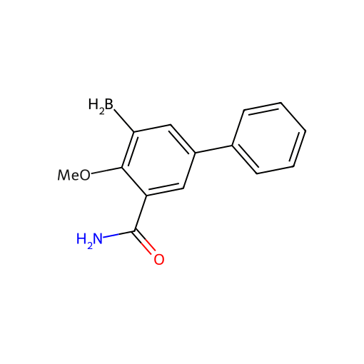 Bc1cc(-c2ccccc2)cc(C(N)=O)c1OC